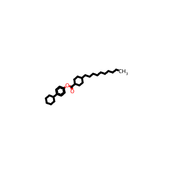 CCCCCCCCCCC1CCC(C(=O)Oc2ccc(C3CCCCC3)cc2)CC1